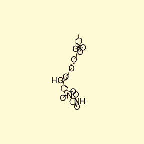 Cc1ccc(S(=O)(=O)OCCOCCOCCOCC(O)c2ccc3c(c2)C(=O)N(C2CCC(=O)NC2=O)C3=O)cc1